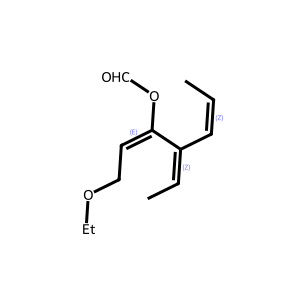 C\C=C/C(=C/C)C(=C\COCC)/OC=O